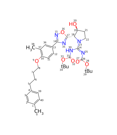 Cc1ccc(CCCCOc2ccc(-c3noc([C@@H]4[C@@H](O)CCN4/C(=N/C(=O)OC(C)(C)C)NC(=O)OC(C)(C)C)n3)cc2C)cc1